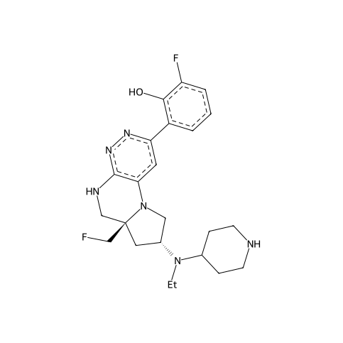 CCN(C1CCNCC1)[C@H]1CN2c3cc(-c4cccc(F)c4O)nnc3NC[C@@]2(CF)C1